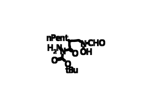 CCCCCC(CN(O)C=O)C(=O)N(N)C(=O)OC(C)(C)C